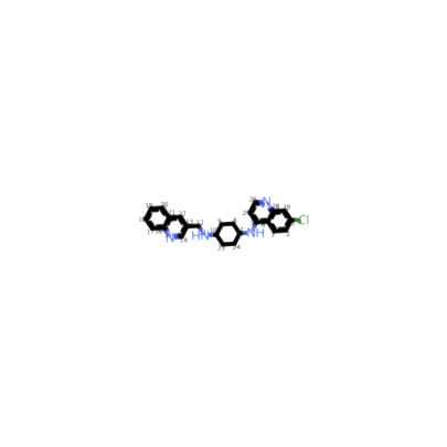 Clc1ccc2c(NC3CCC(NCc4cnc5ccccc5c4)CC3)ccnc2c1